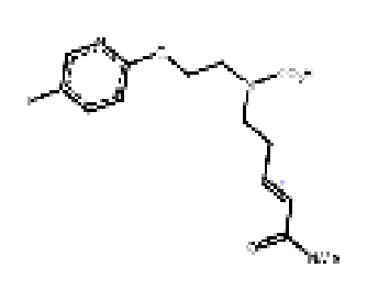 CNC(=O)/C=C/CCN(CCOc1ccc(I)cn1)C(=O)O